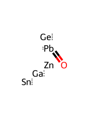 [Ga].[Ge].[O]=[Pb].[Sn].[Zn]